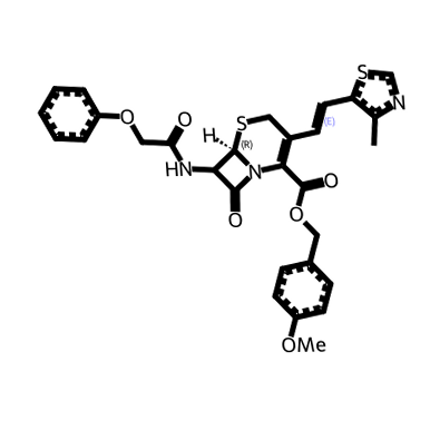 COc1ccc(COC(=O)C2=C(/C=C/c3scnc3C)CS[C@@H]3C(NC(=O)COc4ccccc4)C(=O)N23)cc1